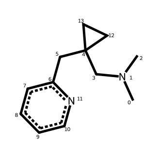 CN(C)CC1(Cc2ccccn2)CC1